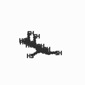 CC(CO)(COCCCCCCS)COP(=O)(O)OCC(C)(COCCCCCCS)COP(=O)(O)OCC(C)(COCCCCCCS)COP(=O)(O)OCC(C)(COCCCCCCS)COP(=O)(O)O